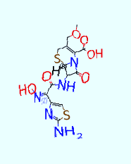 COCC1=C(C(=O)O)N2C(=O)C(NC(=O)/C(=N\O)c3csc(N)n3)[C@@H]2SC1